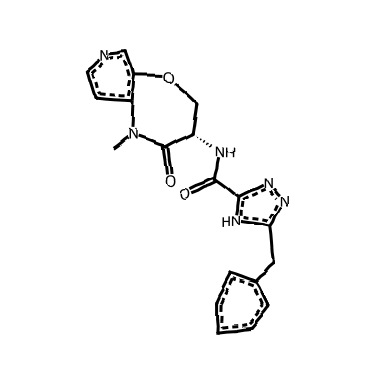 CN1C(=O)[C@@H](NC(=O)c2nnc(Cc3ccccc3)[nH]2)COc2cnccc21